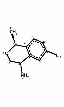 C[C@@H]1OCC(N)c2cc(Cl)ccc21